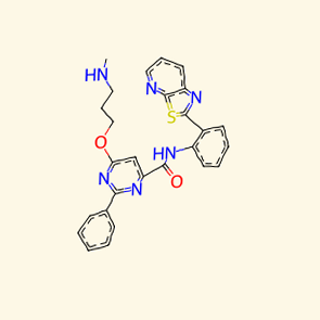 CNCCCOc1cc(C(=O)Nc2ccccc2-c2nc3cccnc3s2)nc(-c2ccccc2)n1